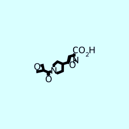 O=C(O)c1cc(C2CCN(C(=O)C3COC3)CC2)on1